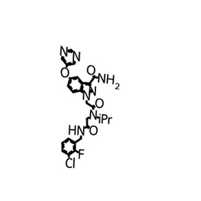 CC(C)N(CC(=O)NCc1cccc(Cl)c1F)C(=O)Cn1nc(C(N)=O)c2cc(Oc3cncnc3)ccc21